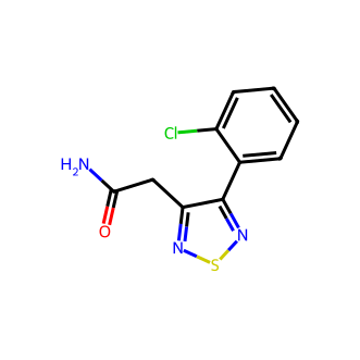 NC(=O)Cc1nsnc1-c1ccccc1Cl